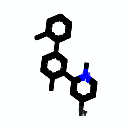 Cc1ccccc1-c1ccc(C)c(-c2cc(C(C)C)cc[n+]2C)c1